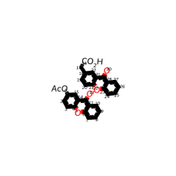 CC(=O)Oc1ccc2oc3ccccc3c(=O)c2c1.O=C(O)Cc1ccc2oc3ccccc3c(=O)c2c1